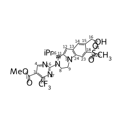 COC(=O)c1cnc(N2CCn3c(cc4cc(CO)c(S(C)(=O)=O)cc43)[C@H]2C(C)C)nc1C(F)(F)F